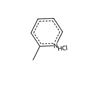 Cc1ccccn1.Cl